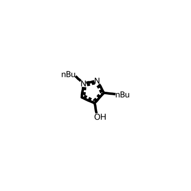 CCCCc1nn(CCCC)cc1O